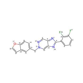 Fc1cccc(-c2nc3cnn(Cc4ccc5occc5c4)cc-3n2)c1F